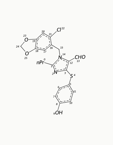 CCCc1nc(Sc2ccc(O)cc2)c(C=O)n1Cc1cc2c(cc1Cl)OCO2